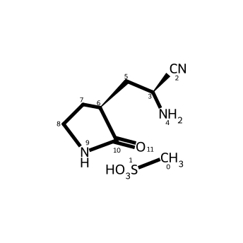 CS(=O)(=O)O.N#C[C@@H](N)C[C@@H]1CCNC1=O